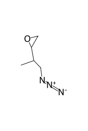 CC(CN=[N+]=[N-])C1CO1